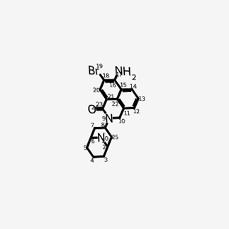 CN1C2CCCC1CC(N1Cc3cccc4c(N)c(Br)cc(c34)C1=O)C2